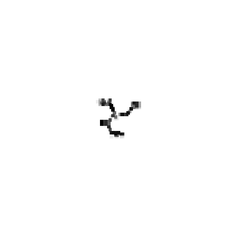 CON[C@H](CO)C(=O)O